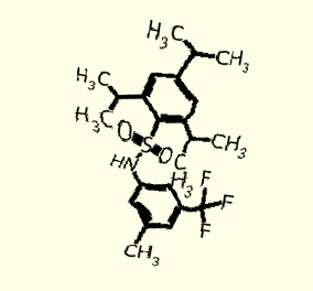 Cc1cc(NS(=O)(=O)c2c(C(C)C)cc(C(C)C)cc2C(C)C)cc(C(F)(F)F)c1